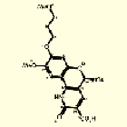 COCCCOc1cc2c(nc1OC)-c1[nH]c(=O)c(C(=O)O)cc1C(C(C)(C)C)O2